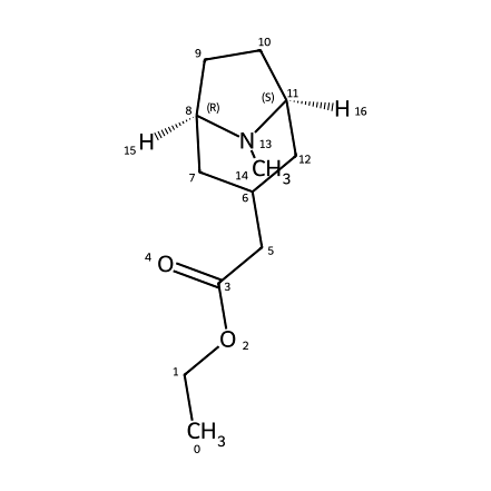 CCOC(=O)CC1C[C@H]2CC[C@@H](C1)N2C